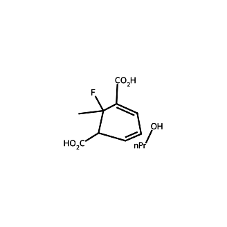 CC1(F)C(C(=O)O)=CC=CC1C(=O)O.CCCO